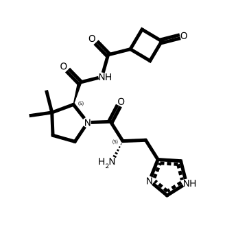 CC1(C)CCN(C(=O)[C@@H](N)Cc2c[nH]cn2)[C@@H]1C(=O)NC(=O)C1CC(=O)C1